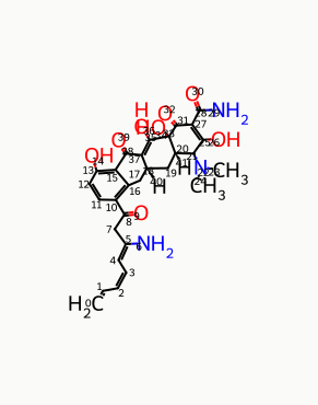 C=C/C=C\C=C(/N)CC(=O)c1ccc(O)c2c1C[C@H]1C[C@H]3[C@H](N(C)C)C(O)=C(C(N)=O)C(=O)[C@@]3(O)C(O)=C1C2=O